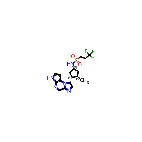 C[C@@H]1C[C@H](NS(=O)(=O)CCC(F)(F)F)C[C@H]1c1cnc2cnc3[nH]ccc3n12